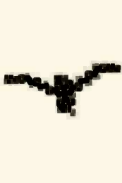 COCCOCCOCCC(CCOCCOCCOC)(C(=O)ON)C(=O)ON